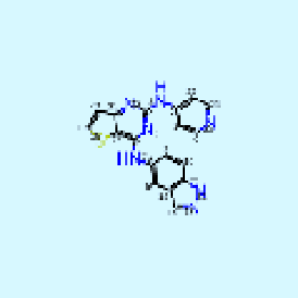 c1cc(Nc2nc(Nc3ccc4[nH]ncc4c3)c3sccc3n2)ccn1